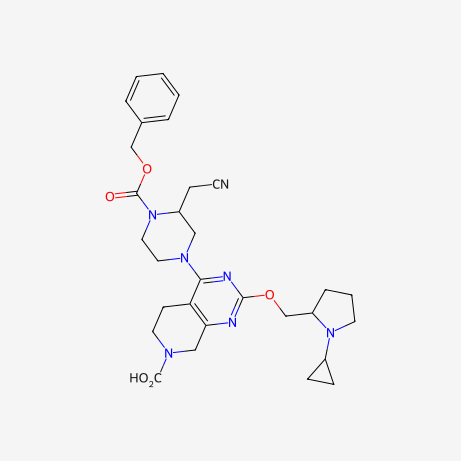 N#CCC1CN(c2nc(OCC3CCCN3C3CC3)nc3c2CCN(C(=O)O)C3)CCN1C(=O)OCc1ccccc1